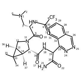 CN(C)C[C@H](NC(=O)C(F)(F)F)C(=O)N1C[C@H]2[C@@H]([C@H]1C(=O)NC(C(N)=O)c1nncc3ccccc13)C2(C)C